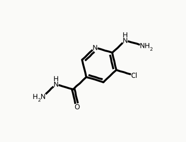 NNC(=O)c1cnc(NN)c(Cl)c1